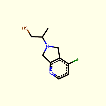 CC(CS)N1Cc2nccc(F)c2C1